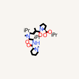 C/C(=C\[C@H](C(C)C)N(C)C(=O)[C@@H](NC(=O)[C@H]1CCCCN1C)C(C)C)C(=O)N1CCC[C@H]1C(=O)OC(C)C